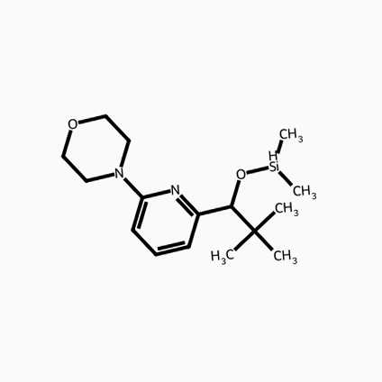 C[SiH](C)OC(c1cccc(N2CCOCC2)n1)C(C)(C)C